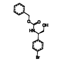 O=C(N[C@@H](CO)c1ccc(Br)cc1)OCc1ccccc1